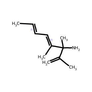 C=C(C)C(C)(N)/C(C)=C/C=C/C